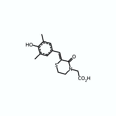 Cc1cc(C=C2SCCN(CC(=O)O)C2=O)cc(C)c1O